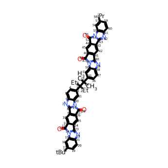 CCC(CC)(c1ccc2nc3c4cc5c(=O)n6c7cc(C(C)(C)C)ccc7nc6c5cc4c(=O)n3c2c1)C(C)(C)c1ccc2nc3c4cc5c(cc4c(=O)n3c2c1)c(=O)n1c2cc(C(C)C)ccc2nc51